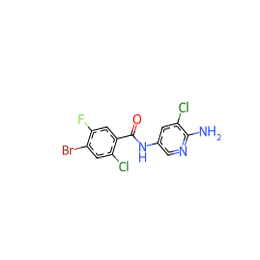 Nc1ncc(NC(=O)c2cc(F)c(Br)cc2Cl)cc1Cl